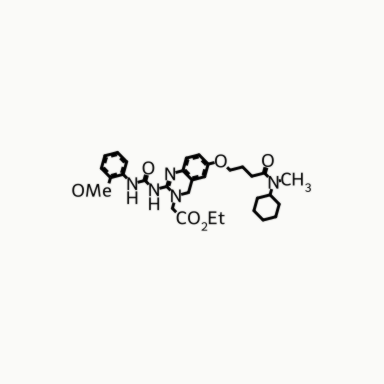 CCOC(=O)CN1Cc2cc(OCCCC(=O)N(C)C3CCCCC3)ccc2N=C1NC(=O)Nc1ccccc1OC